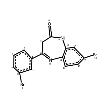 O=C1CC(c2cccc(Br)c2)=Nc2ccc(Br)cc2N1